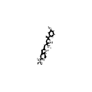 CC(C)(CC(O)(Cc1cc2cc(S(C)(=O)=O)ncc2[nH]1)C(F)(F)F)c1cccc(Br)c1